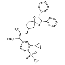 CCOC(=O)/C(=C(\C)C[C@H]1CCC2(C1)O[C@H](c1ccccc1)[C@@H](c1ccccc1)O2)c1ccc(S(=O)(=O)C2CC2)c(C2CC2)c1